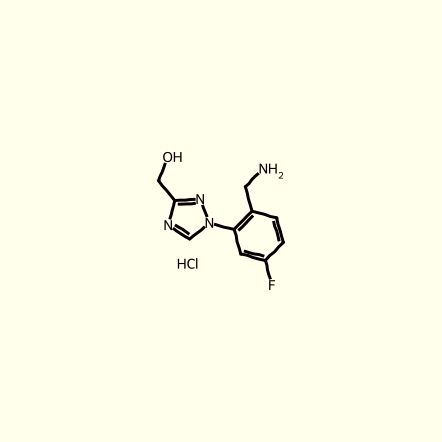 Cl.NCc1ccc(F)cc1-n1cnc(CO)n1